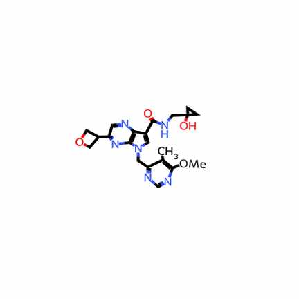 COc1ncnc(Cn2cc(C(=O)NCC3(O)CC3)c3ncc(C4COC4)nc32)c1C